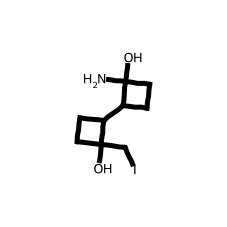 NC1(O)CCC1C1CCC1(O)CI